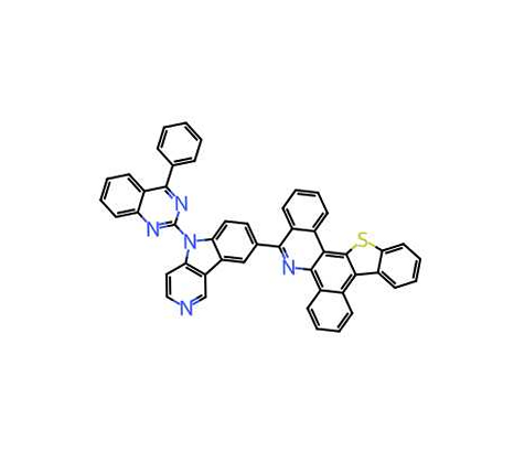 c1ccc(-c2nc(-n3c4ccncc4c4cc(-c5nc6c7ccccc7c7c8ccccc8sc7c6c6ccccc56)ccc43)nc3ccccc23)cc1